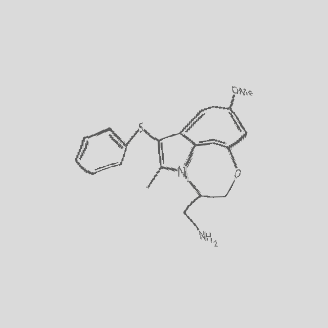 COc1cc2c3c(c1)c(Sc1ccccc1)c(C)n3C(CN)CO2